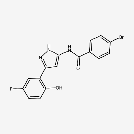 O=C(Nc1cc(-c2cc(F)ccc2O)n[nH]1)c1ccc(Br)cc1